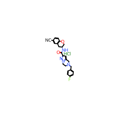 Cl.N#Cc1ccc2c(c1)C[C@@H](NC(=O)c1cc3n(n1)CCN(Cc1ccc(F)cc1)C3)CO2